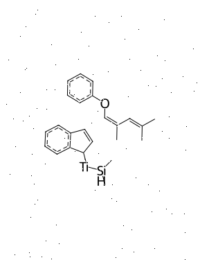 CC(C)=CC(C)=COc1ccccc1.C[SiH](C)[Ti][CH]1C=Cc2ccccc21